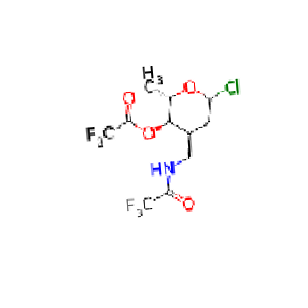 C[C@@H]1OC(Cl)C[C@@H](CNC(=O)C(F)(F)F)[C@H]1OC(=O)C(F)(F)F